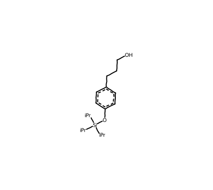 CC(C)[Si](Oc1ccc(CCCO)cc1)(C(C)C)C(C)C